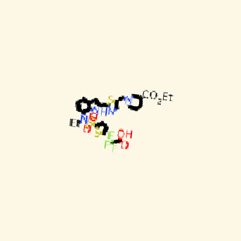 CCOC(=O)C1CCCN(Cc2cnc(-c3cc4cccc(N(CC)S(=O)(=O)c5cccs5)c4[nH]3)s2)C1.O=C(O)C(F)(F)F